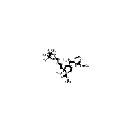 CC(C)C[C@H](NC(=O)OC(C)(C)C)C(N)[C@H]1CCN(C(=O)OC(C)(C)C)[C@@](CCCCB2OC(C)(C)C(C)(C)O2)(C(=O)O)C1